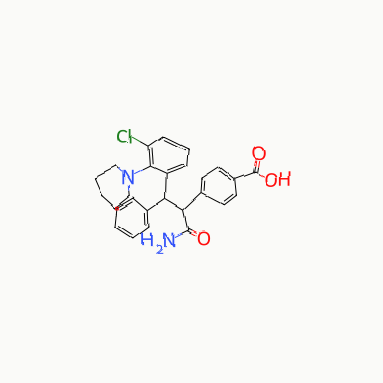 NC(=O)C(c1ccc(C(=O)O)cc1)C(c1ccccc1)c1cccc(Cl)c1N1CCCCC1